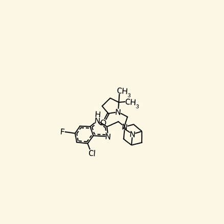 CC1(C)CCC(=O)N1CCN1C2CC1CN(Cc1nc3c(Cl)cc(F)cc3[nH]1)C2